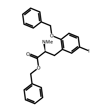 CN[C@@H](Cc1cc(I)ccc1OCc1ccccc1)C(=O)OCc1ccccc1